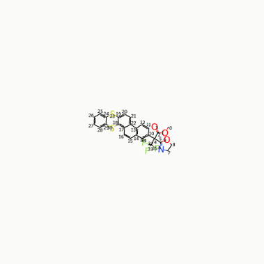 COC(=O)C(C1=NCCO1)(c1ccc2c(ccc3c4c(ccc32)Sc2ccccc2S4)c1)C(F)(F)F